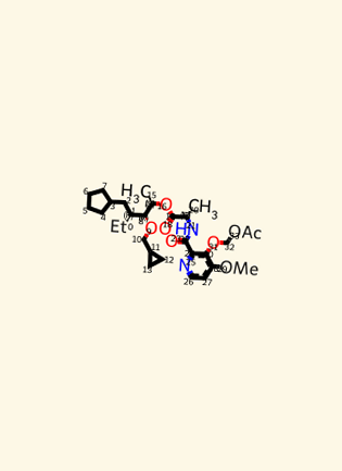 CC[C@H](CC1CCCC1)[C@@H](OCC1CC1)[C@H](C)OC(=O)[C@H](C)NC(=O)c1nccc(OC)c1OCOC(C)=O